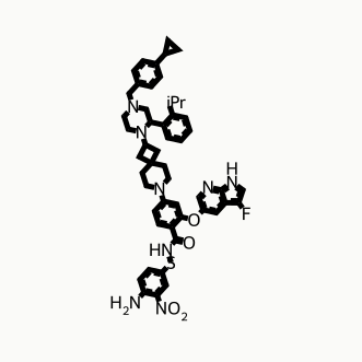 CC(C)c1ccccc1C1CN(Cc2ccc(C3CC3)cc2)CCN1C1CC2(CCN(c3ccc(C(=O)NSc4ccc(N)c([N+](=O)[O-])c4)c(Oc4cnc5[nH]cc(F)c5c4)c3)CC2)C1